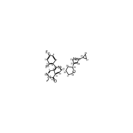 Cn1ncc2c(-c3ccc(F)cc3F)nc([C@H]3CCO[C@H](c4cnn(C5CC5)c4)C3)cc2c1=O